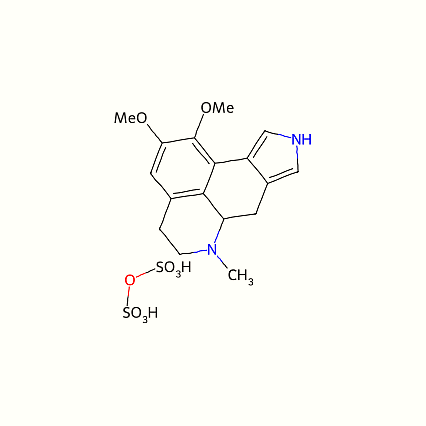 COc1cc2c3c(c1OC)-c1c[nH]cc1CC3N(C)CC2.O=S(=O)(O)OS(=O)(=O)O